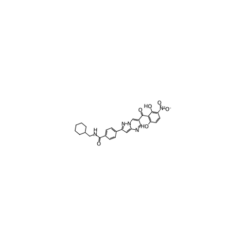 O=C(NCC1CCCCC1)c1ccc(-c2cc3ncc(C(=O)c4c(O)ccc([N+](=O)[O-])c4O)cn3n2)cc1